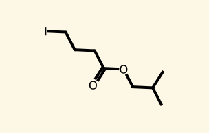 CC(C)COC(=O)CCCI